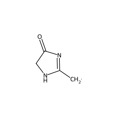 [CH2]C1=NC(=O)CN1